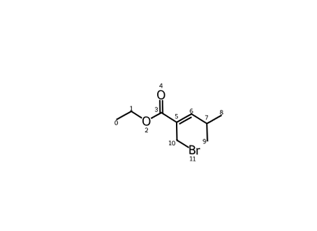 CCOC(=O)C(=CC(C)C)CBr